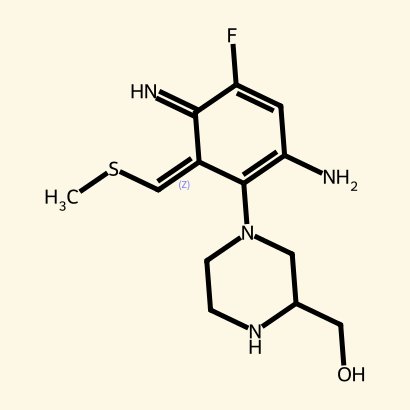 CS/C=C1\C(=N)C(F)=CC(N)=C1N1CCNC(CO)C1